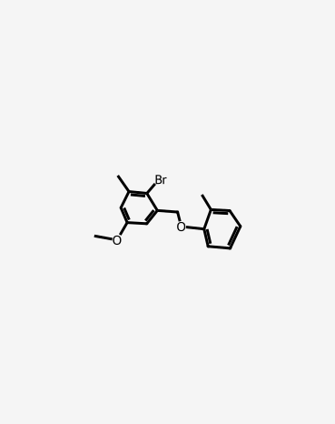 COc1cc(C)c(Br)c(COc2ccccc2C)c1